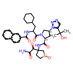 CC(C)(O)c1cnnn1[C@H]1C[C@@H](C(=O)NC2(C(=O)C(N)=O)CC[S+]([O-])C2)N(C(=O)C(CC2CCCCC2)NC(=O)c2ccc3ccccc3c2)C1